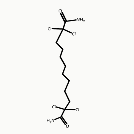 NC(=O)C(Cl)(Cl)CCCCCCCCC(Cl)(Cl)C(N)=O